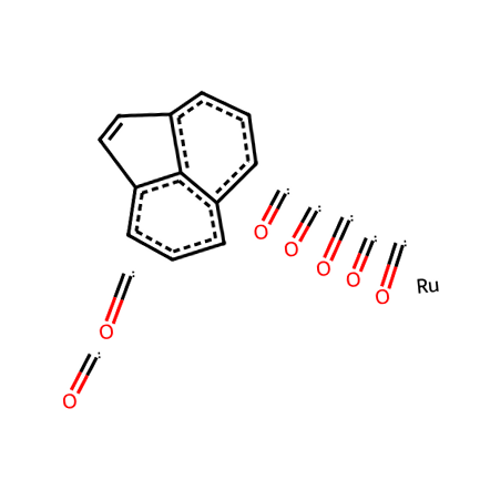 C1=Cc2cccc3cccc1c23.[C]=O.[C]=O.[C]=O.[C]=O.[C]=O.[C]=O.[C]=O.[Ru]